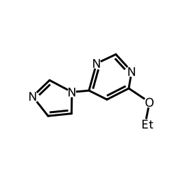 CCOc1cc(-n2ccnc2)ncn1